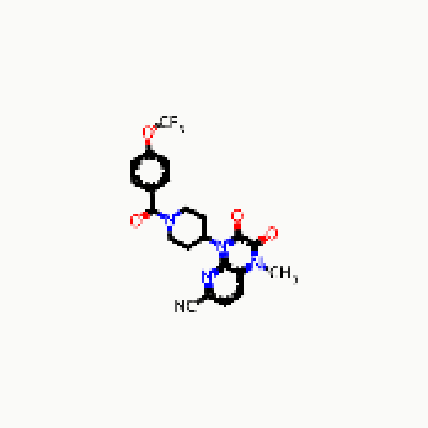 Cn1c(=O)c(=O)n(C2CCN(C(=O)c3ccc(OC(F)(F)F)cc3)CC2)c2nc(C#N)ccc21